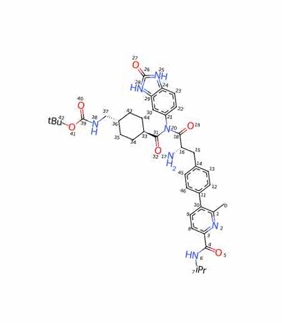 Cc1nc(C(=O)NC(C)C)ccc1-c1ccc(C[C@H](N)C(=O)N(c2ccc3[nH]c(=O)[nH]c3c2)C(=O)[C@H]2CC[C@H](CNC(=O)OC(C)(C)C)CC2)cc1